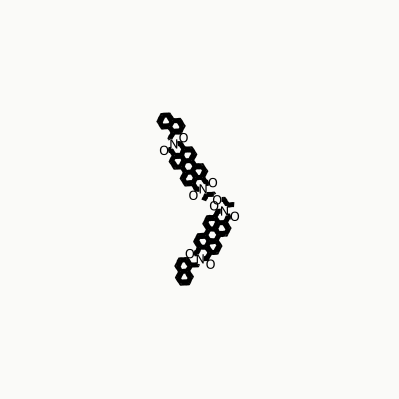 CC(COCC(C)N1C(=O)c2ccc3c4ccc5c6c(ccc(c7ccc(c2c37)C1=O)c64)C(=O)N(Cc1cccc2ccccc12)C5=O)N1C(=O)c2ccc3c4ccc5c6c(ccc(c7ccc(c2c37)C1=O)c64)C(=O)N(Cc1cccc2ccccc12)C5=O